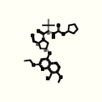 CCOc1cc(O[C@@H]2C[C@@H](C=O)N(C(=O)[C@@H](NC(=O)OC3CCCC3)C(C)(C)C)C2)c2ccc(OC)c(Br)c2n1